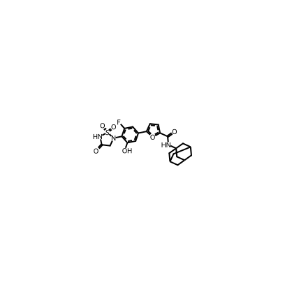 O=C1CN(c2c(O)cc(-c3ccc(C(=O)NC45CC6CC(CC(C6)C4)C5)o3)cc2F)S(=O)(=O)N1